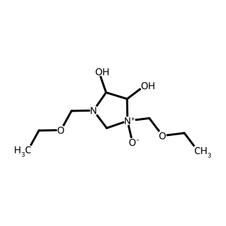 CCOCN1C[N+]([O-])(COCC)C(O)C1O